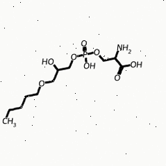 CCCCCOCC(O)COP(=O)(O)OCC(N)C(=O)O